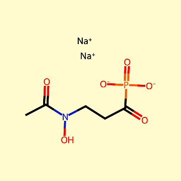 CC(=O)N(O)CCC(=O)P(=O)([O-])[O-].[Na+].[Na+]